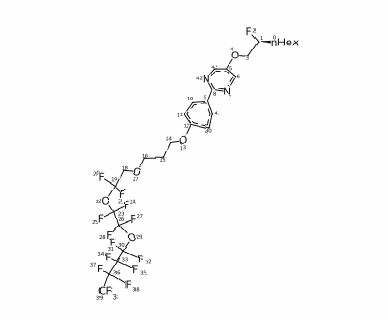 CCCCCC[C@H](F)COc1cnc(-c2ccc(OCCCOCC(F)(F)OC(F)(F)C(F)(F)OC(F)(F)C(F)(F)C(F)(F)C(F)(F)F)cc2)nc1